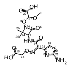 COC(ON1C(=O)[C@@H](NC(=O)/C(=N\OCC(=O)O)c2csc(N)n2)C1(C)C)C(=O)O